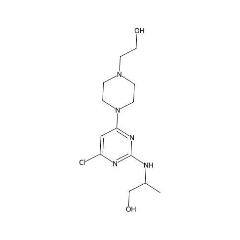 CC(CO)Nc1nc(Cl)cc(N2CCN(CCO)CC2)n1